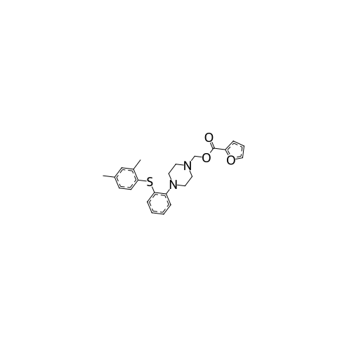 Cc1ccc(Sc2ccccc2N2CCN(COC(=O)c3ccco3)CC2)c(C)c1